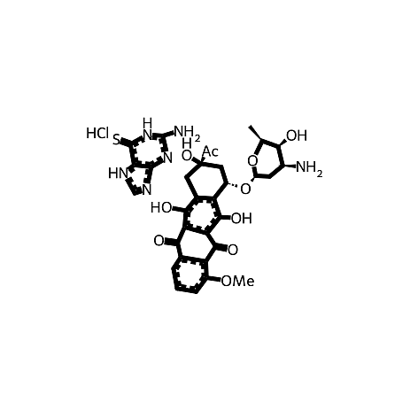 COc1cccc2c1C(=O)c1c(O)c3c(c(O)c1C2=O)C[C@@](O)(C(C)=O)C[C@@H]3O[C@H]1C[C@H](N)[C@H](O)[C@H](C)O1.Cl.Nc1nc2nc[nH]c2c(=S)[nH]1